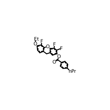 CCCc1ccc(C(=O)Oc2cc3c(c(F)c2F)Oc2c(ccc(OCC)c2F)C3)cc1